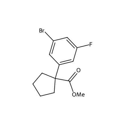 COC(=O)C1(c2cc(F)cc(Br)c2)CCCC1